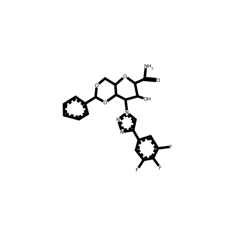 NC(=O)C1OC2COC(c3ccccc3)OC2C(n2cc(-c3cc(F)c(F)c(F)c3)nn2)C1O